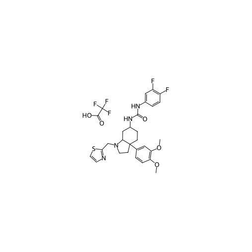 COc1ccc(C23CCC(NC(=O)Nc4ccc(F)c(F)c4)CC2N(Cc2nccs2)CC3)cc1OC.O=C(O)C(F)(F)F